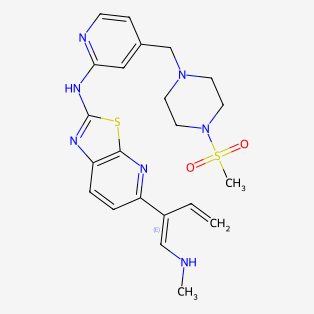 C=C/C(=C\NC)c1ccc2nc(Nc3cc(CN4CCN(S(C)(=O)=O)CC4)ccn3)sc2n1